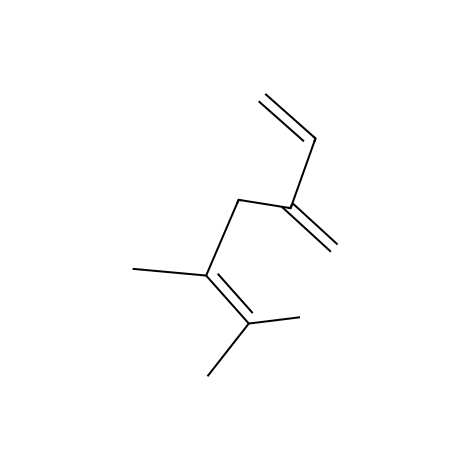 C=CC(=C)CC(C)=C(C)C